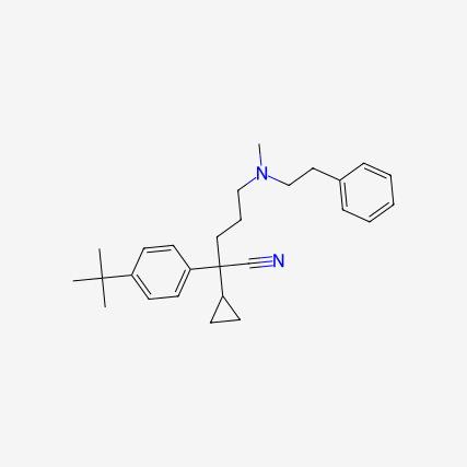 CN(CCCC(C#N)(c1ccc(C(C)(C)C)cc1)C1CC1)CCc1ccccc1